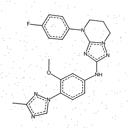 COc1cc(Nc2nc3n(n2)CCCN3c2ccc(F)cc2)ccc1-n1cnc(C)n1